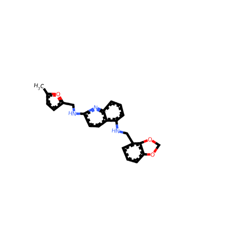 Cc1ccc(CNc2ccc3c(NCc4cccc5c4OCO5)cccc3n2)o1